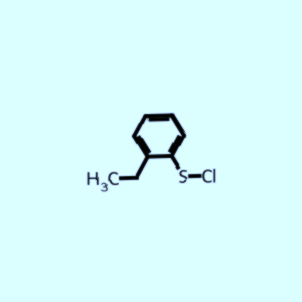 CCc1ccccc1SCl